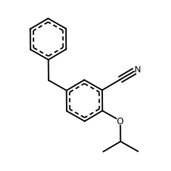 CC(C)Oc1ccc(Cc2ccccc2)cc1C#N